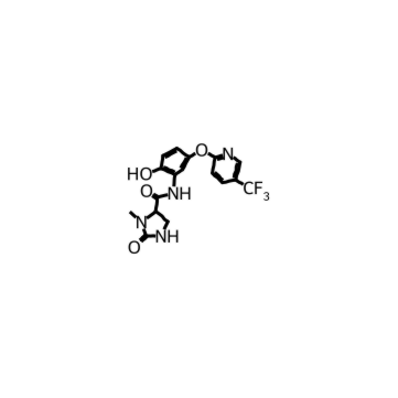 CN1C(=O)NCC1C(=O)Nc1cc(Oc2ccc(C(F)(F)F)cn2)ccc1O